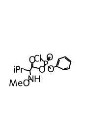 CONC(C(=O)OP(=O)(Cl)Oc1ccccc1)C(C)C